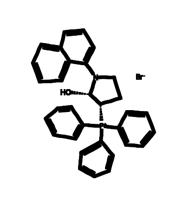 O[C@H]1[C@@H]([P+](c2ccccc2)(c2ccccc2)c2ccccc2)CCN1c1cccc2ccccc12.[Br-]